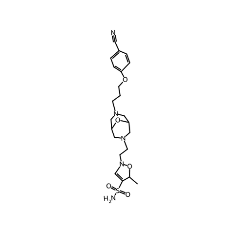 CC1ON(CCN2CC3CN(CCCOc4ccc(C#N)cc4)CC(C2)O3)C=C1S(N)(=O)=O